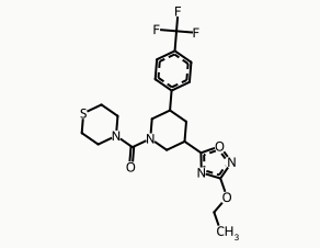 CCOc1noc(C2CC(c3ccc(C(F)(F)F)cc3)CN(C(=O)N3CCSCC3)C2)n1